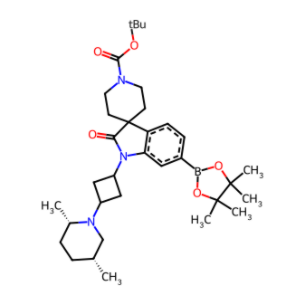 C[C@@H]1CC[C@H](C)N(C2CC(N3C(=O)C4(CCN(C(=O)OC(C)(C)C)CC4)c4ccc(B5OC(C)(C)C(C)(C)O5)cc43)C2)C1